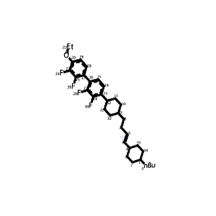 CCCCC1CCC(/C=C/CCC2CCC(c3ccc(-c4ccc(OCC)c(F)c4F)c(F)c3F)CC2)CC1